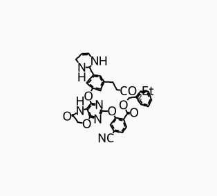 CCOC(=O)CCc1cc(Oc2nc(Oc3cc(C#N)ccc3C(=O)OCc3ccccc3)nc3c2NC(=O)CO3)cc(C2NC=CCN2)c1